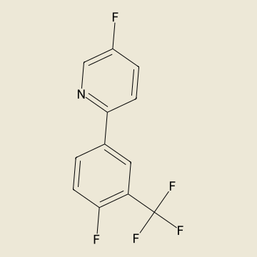 Fc1ccc(-c2ccc(F)c(C(F)(F)F)c2)nc1